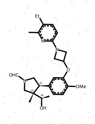 CCc1ccc(N2CC(Oc3cc([C@@H]4CN(C=O)C[C@@]4(C)[C@@H](C)O)ccc3OC)C2)nc1C